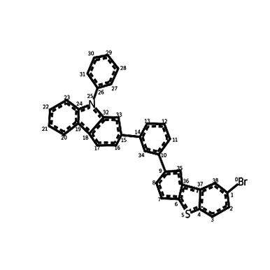 Brc1ccc2sc3ccc(-c4cccc(-c5ccc6c7ccccc7n(-c7ccccc7)c6c5)c4)cc3c2c1